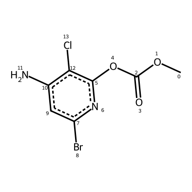 COC(=O)Oc1nc(Br)cc(N)c1Cl